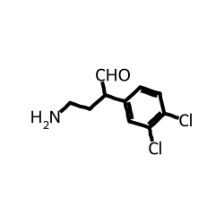 NCCC(C=O)c1ccc(Cl)c(Cl)c1